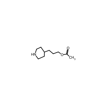 CC(=O)OCCCC1CCNCC1